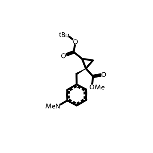 CNc1cccc(C[C@]2(C(=O)OC)CC2C(=O)OC(C)(C)C)c1